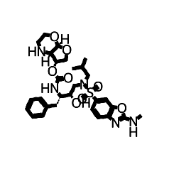 CNc1nc2ccc(S(=O)(=O)N(CC(C)C)C[C@@H](O)[C@H](Cc3ccccc3)NC(=O)O[C@@H]3CO[C@@H]4OCCN[C@@H]43)cc2o1